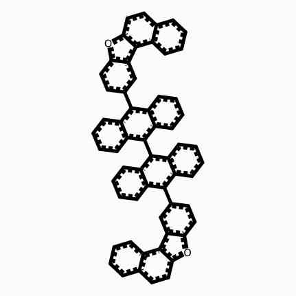 c1ccc2c(c1)ccc1oc3ccc(-c4c5ccccc5c(-c5c6ccccc6c(-c6ccc7oc8ccc9ccccc9c8c7c6)c6ccccc56)c5ccccc45)cc3c12